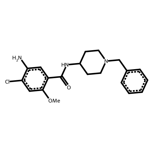 COc1cc(Cl)c(N)cc1C(=O)NC1CCN(Cc2ccccc2)CC1